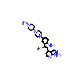 CC(C)c1c(-c2ccnc3[nH]ncc23)[nH]c2ccc(N3CCN(C4CCN(C(C)C)CC4)CC3)cc12